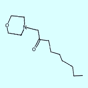 CCCCCCCC(=O)CN1CCOCC1